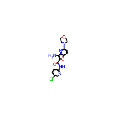 Nc1c(C(=O)Nc2ccc(Cl)cn2)oc2ccc(N3CCOCC3)nc12